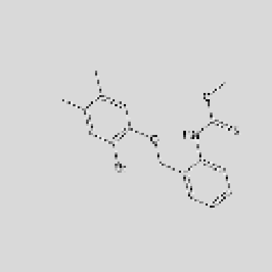 COC(=S)Nc1ccccc1COc1cc(C)c(C)cc1Br